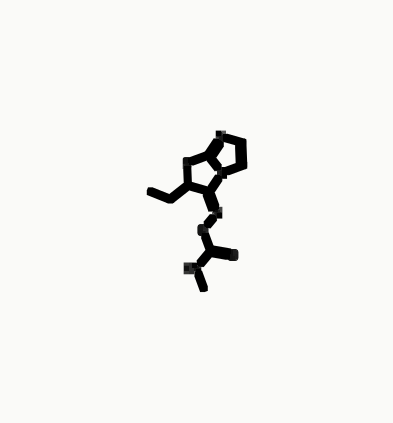 CCC1Sc2nccn2C1=NOC(=O)NC